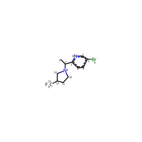 CC(c1ccc(Br)cn1)N1CCC(C(F)(F)F)C1